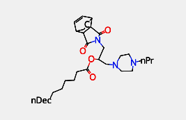 CCCCCCCCCCCCCCCC(=O)OC(CN1CCN(CCC)CC1)CN1C(=O)C2C3C=CC(CC3)C2C1=O